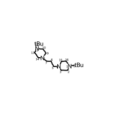 CC(C)(C)N1CCN(CCCN2CCN(C(C)(C)C)CC2)CC1